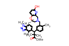 COC(=O)C(C)(C)C(c1ccc(C)c(CN2Cc3nc(O)ccc3O[C@@H](C)C2)c1)c1ccc2c(nnn2C)c1C